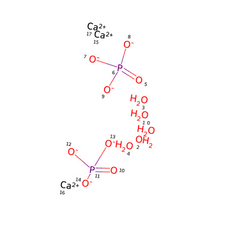 O.O.O.O.O.O=P([O-])([O-])[O-].O=P([O-])([O-])[O-].[Ca+2].[Ca+2].[Ca+2]